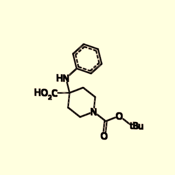 CC(C)(C)OC(=O)N1CCC(Nc2ccccc2)(C(=O)O)CC1